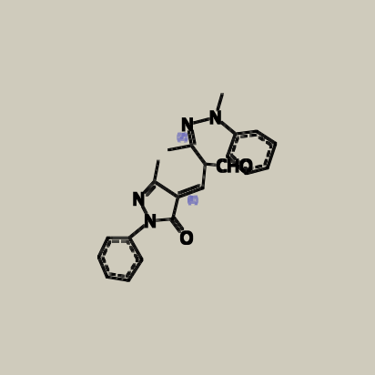 CC1=NN(c2ccccc2)C(=O)/C1=C/C(C=O)/C(C)=N\N(C)c1ccccc1